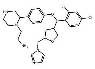 NCCN1CCNCC1c1ccc(OC(c2ccc(Cl)cc2Cl)C2COC(Cn3ccnc3)O2)cc1